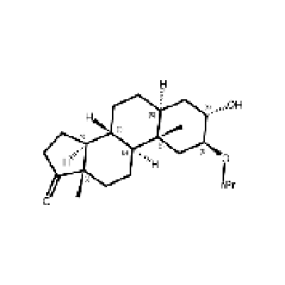 CCCO[C@H]1C[C@@]2(C)[C@@H](CC[C@@H]3[C@@H]2CC[C@]2(C)C(=O)CC[C@@H]32)C[C@@H]1O